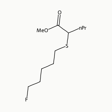 CCCC(SCCCCCF)C(=O)OC